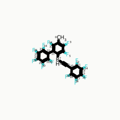 Cc1c(F)c(F)c(BC#Cc2c(F)c(F)c(F)c(F)c2F)c(-c2c(F)c(F)c(F)c(F)c2F)c1F